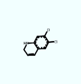 Clc1cc2c(cc1Cl)NCC=C2